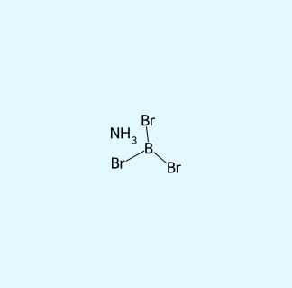 BrB(Br)Br.N